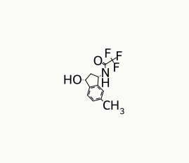 Cc1ccc2c(c1)[C@@H](NC(=O)C(F)(F)F)C[C@H]2O